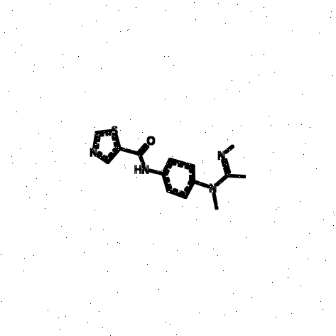 CN=C(C)N(C)c1ccc(NC(=O)c2cncs2)cc1